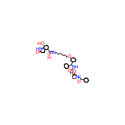 O=C(NC(c1ccccc1)c1cccc(OCCCCCCNCC(O)c2ccc(O)c3[nH]c(=O)ccc23)c1)O[C@H]1C[N+]2(CC(=O)c3ccccc3)CCC1CC2